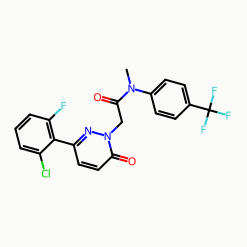 CN(C(=O)Cn1nc(-c2c(F)cccc2Cl)ccc1=O)c1ccc(C(F)(F)F)cc1